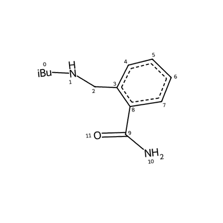 CCC(C)NCc1ccccc1C(N)=O